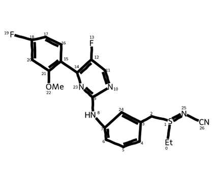 CC/S(Cc1cccc(Nc2ncc(F)c(-c3ccc(F)cc3OC)n2)c1)=N\C#N